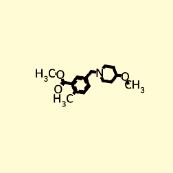 COC(=O)c1cc(CN2CCC(OC)CC2)ccc1C